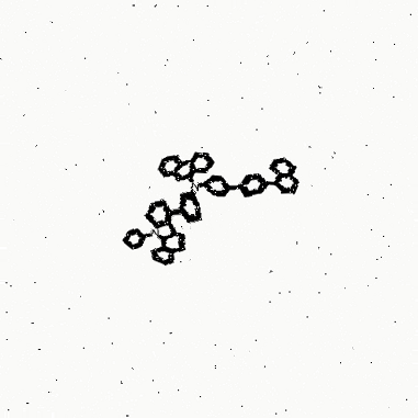 C1=CC2c3c(-c4cccc(N(c5ccc(-c6ccc(-c7cccc8ccccc78)cc6)cc5)c5cc6ccccc6c6ccccc56)c4)cccc3N(c3ccccc3)C2c2ccccc21